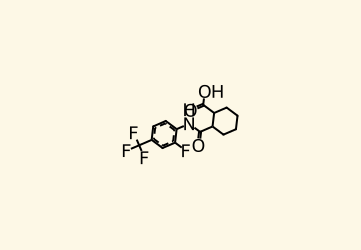 O=C(O)C1CCCCC1C(=O)Nc1ccc(C(F)(F)F)cc1F